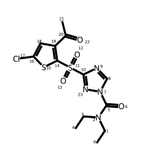 CCN(CC)C(=O)n1cnc(S(=O)(=O)c2sc(Cl)cc2C(C)=O)n1